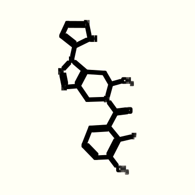 Cc1cccc(C(=O)N2Cc3nnn(-c4ccn[nH]4)c3CC2C)c1F